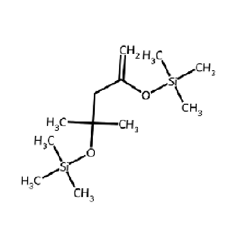 C=C(CC(C)(C)O[Si](C)(C)C)O[Si](C)(C)C